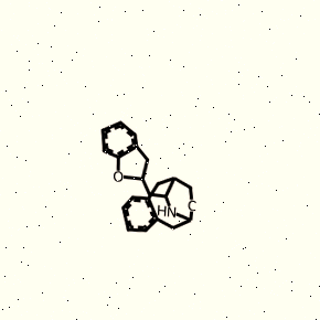 c1ccc2c(c1)CC1CCC(C2)C(CC2Cc3ccccc3O2)N1